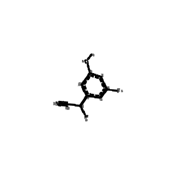 COc1cc(F)cc(C(F)C#N)c1